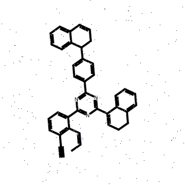 C#Cc1cccc(-c2nc(C3=CCCc4ccccc43)nc(-c3ccc(C4CC=Cc5ccccc54)cc3)n2)c1/C=C\C